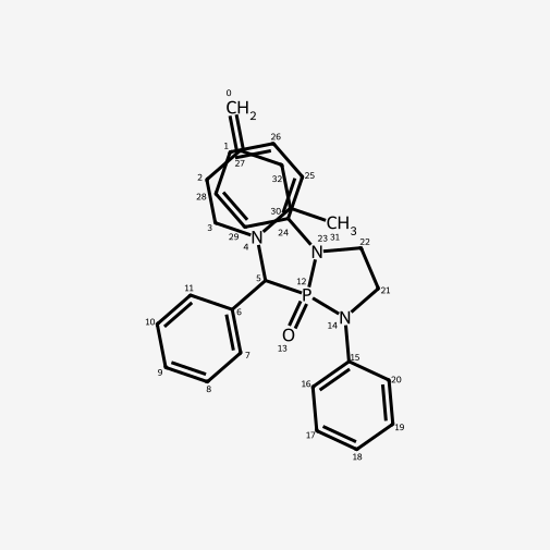 C=C1CCN(C(c2ccccc2)P2(=O)N(c3ccccc3)CCN2c2ccccc2)C(C)C1